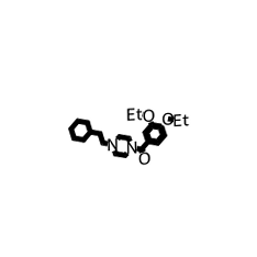 CCOc1ccc(C(=O)N2CCN(CCC3CCCCC3)CC2)cc1OCC